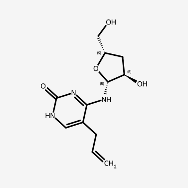 C=CCc1c[nH]c(=O)nc1N[C@@H]1O[C@H](CO)C[C@H]1O